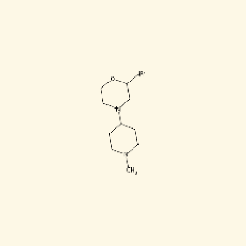 CC(C)C1CN(C2CCN(C)CC2)CCO1